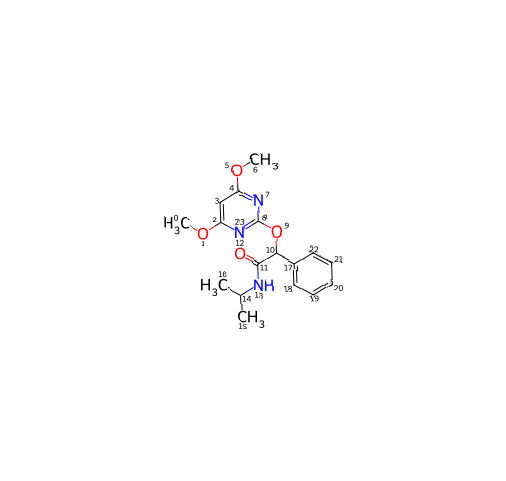 COc1cc(OC)nc(OC(C(=O)NC(C)C)c2ccccc2)n1